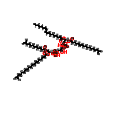 CCCCCC/C=C\C=C/CCCCCCCC(=O)O[C@H](COC(=O)CCCCCCCCCCCCCCC(C)C)COP(=O)(O)OCC(O)COP(=O)(O)OC[C@@H](COC(=O)CCCCCCCCCC(C)C)OC(=O)CCCCCCCCCCCCCCCCC(C)C